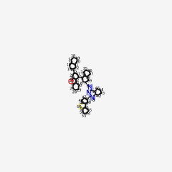 C=N/C(=N\C(=N/Cc1cc(-c2cc(-c3ccc4ccccc4c3)cc3oc4ccccc4c23)c2ccccc2c1)c1ccccc1)c1ccc2sc3ccccc3c2c1